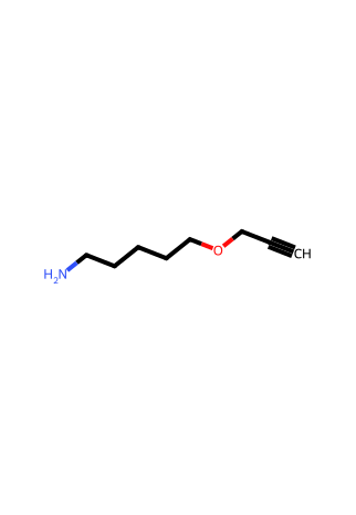 C#CCOCCCCCN